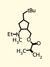 C=C(C)C(=O)OCC1CC(CC(C)(C)C)CC1N(C)CC